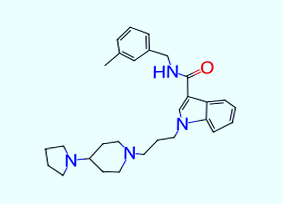 Cc1cccc(CNC(=O)c2cn(CCCN3CCC(N4CCCC4)CC3)c3ccccc23)c1